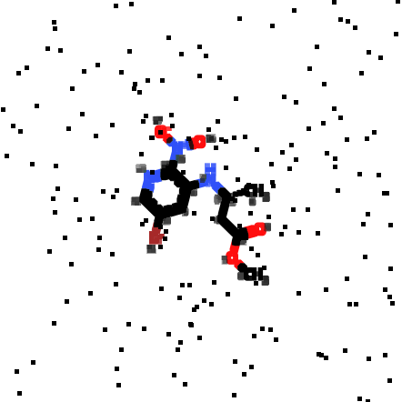 COC(=O)C[C@@H](C)Nc1cc(Br)cnc1[N+](=O)[O-]